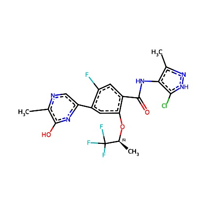 Cc1ncc(-c2cc(O[C@@H](C)C(F)(F)F)c(C(=O)Nc3c(C)n[nH]c3Cl)cc2F)nc1O